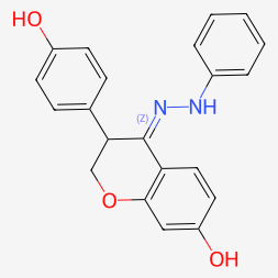 Oc1ccc(C2COc3cc(O)ccc3/C2=N\Nc2ccccc2)cc1